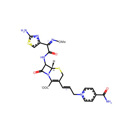 CO/N=C(\C(=O)NC1C(=O)N2C(C(=O)[O-])=C(/C=C/C[n+]3ccc(C(N)=O)cc3)CS[C@@H]12)c1csc(N)n1